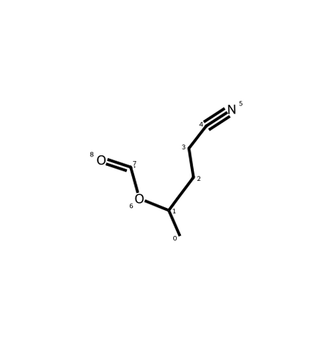 CC(CCC#N)O[C]=O